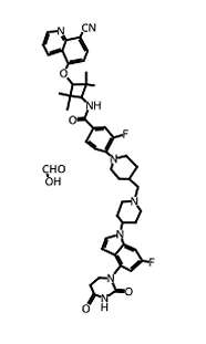 CC1(C)C(NC(=O)c2ccc(N3CCC(CN4CCC(n5ccc6c(N7CCC(=O)NC7=O)cc(F)cc65)CC4)CC3)c(F)c2)C(C)(C)C1Oc1ccc(C#N)c2ncccc12.O=CO